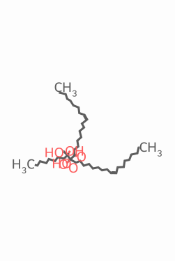 CCCCCCCC/C=C\CCCCCCCC(=O)C(O)(C(=O)CCCCCCC/C=C\CCCCCCCC)C(O)(CO)C(=O)CCCCCCC